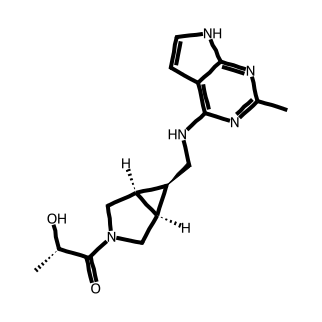 Cc1nc(NC[C@H]2[C@H]3CN(C(=O)[C@H](C)O)C[C@@H]23)c2cc[nH]c2n1